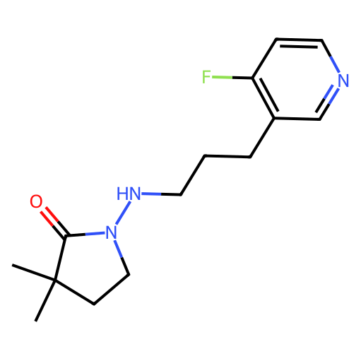 CC1(C)CCN(NCCCc2cnccc2F)C1=O